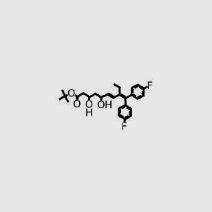 CCC(/C=C/C(O)CC(O)CC(=O)OC(C)(C)C)=C(c1ccc(F)cc1)c1ccc(F)cc1